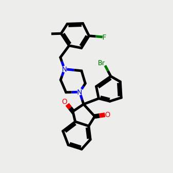 Cc1ccc(F)cc1CN1CCN(C2(c3cccc(Br)c3)C(=O)c3ccccc3C2=O)CC1